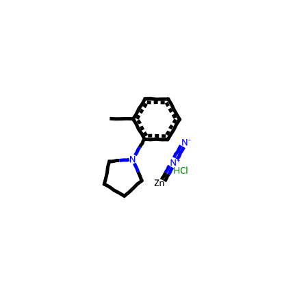 Cc1ccccc1N1CCCC1.Cl.[N-]=[N+]=[Zn]